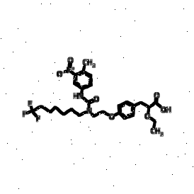 CCOC(Cc1ccc(OCCN(CCCCCCC(F)(F)F)C(=O)Nc2ccc(C)c([N+](=O)[O-])c2)cc1)C(=O)O